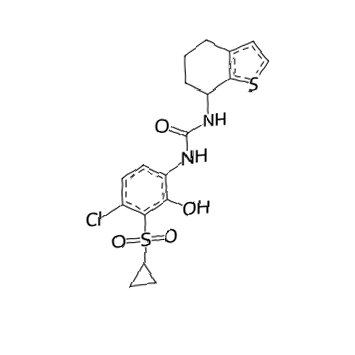 O=C(Nc1ccc(Cl)c(S(=O)(=O)C2CC2)c1O)NC1CCCc2ccsc21